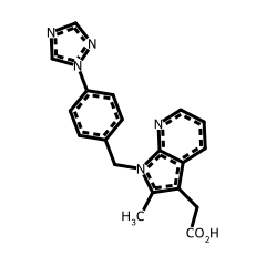 Cc1c(CC(=O)O)c2cccnc2n1Cc1ccc(-n2cncn2)cc1